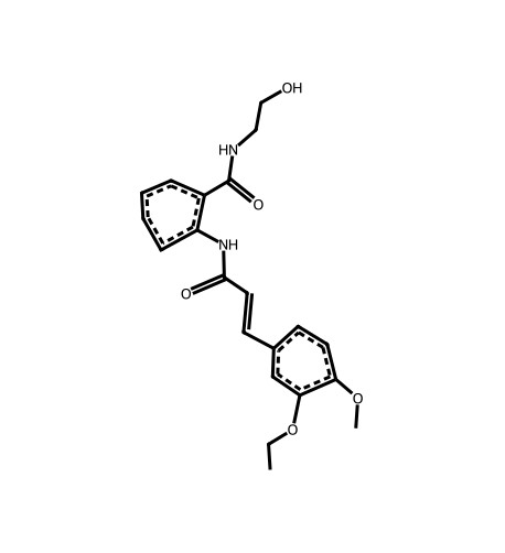 CCOc1cc(C=CC(=O)Nc2ccccc2C(=O)NCCO)ccc1OC